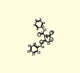 O=C(Cc1ccccc1)N1C(=O)OCC1OCc1ccccc1